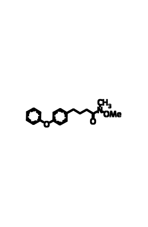 CON(C)C(=O)CCCc1ccc(Oc2ccccc2)cc1